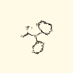 NC(=O)N(c1cnccn1)c1cnccn1